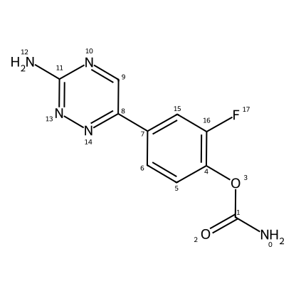 NC(=O)Oc1ccc(-c2cnc(N)nn2)cc1F